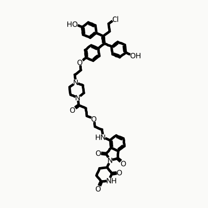 O=C1CCC(N2C(=O)c3cccc(NCCOCCC(=O)N4CCN(CCOc5ccc(C(=C(CCCl)c6ccc(O)cc6)c6ccc(O)cc6)cc5)CC4)c3C2=O)C(=O)N1